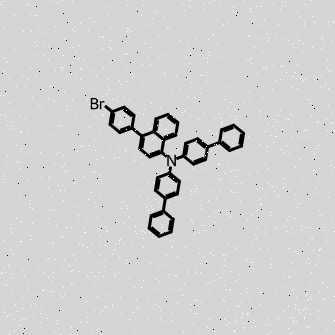 Brc1ccc(-c2ccc(N(c3ccc(-c4ccccc4)cc3)c3ccc(-c4ccccc4)cc3)c3ccccc23)cc1